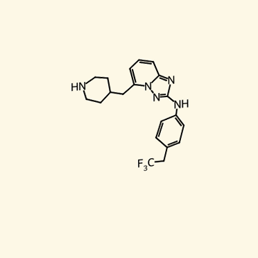 FC(F)(F)Cc1ccc(Nc2nc3cccc(CC4CCNCC4)n3n2)cc1